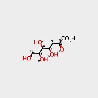 O=C(O)C(=O)CC(O)C(O)C(O)CO